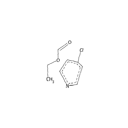 CCOC=O.Clc1ccncc1